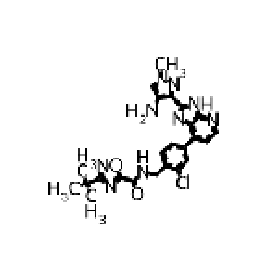 Cn1cc(N)c(-c2nc3c(-c4ccc(CNC(=O)c5nc(C(C)(C)C)no5)c(Cl)c4)ccnc3[nH]2)n1